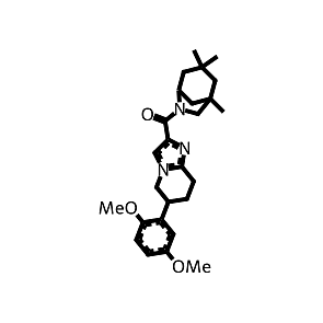 COc1ccc(OC)c(C2CCc3nc(C(=O)N4CC5(C)CC4CC(C)(C)C5)cn3C2)c1